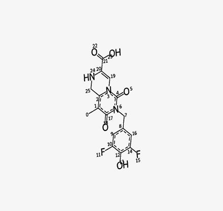 Cc1c2n(c(=O)n(Cc3cc(F)c(O)c(F)c3)c1=O)C=C(C(=O)O)NC2